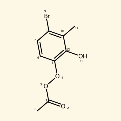 CC(=O)OOc1ccc(Br)c(C)c1O